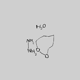 C1CCOOC1.NN.O